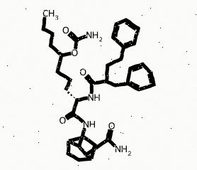 CCCCC(CCC[C@H](NC(=O)C(CCc1ccccc1)Cc1ccccc1)C(=O)NC1C2CCC(CC2)C1C(N)=O)OC(N)=O